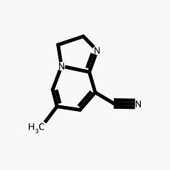 CC1=CN2CCN=C2C(C#N)=C1